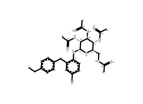 CCc1ccc(Cc2cc(Br)ccc2O[C@@H]2S[C@H](COC(C)=O)[C@@H](OC(C)=O)[C@H](OC(C)=O)[C@H]2OC(C)=O)cc1